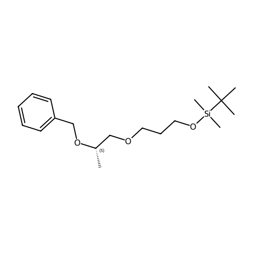 C[C@@H](COCCCO[Si](C)(C)C(C)(C)C)OCc1ccccc1